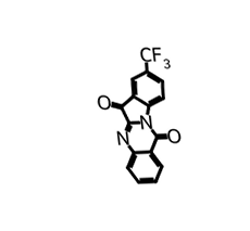 O=C1c2cc(C(F)(F)F)ccc2-n2c1nc1ccccc1c2=O